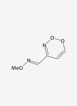 CON=CC1=NOOC=C1